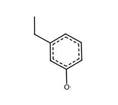 CCc1cccc([O])c1